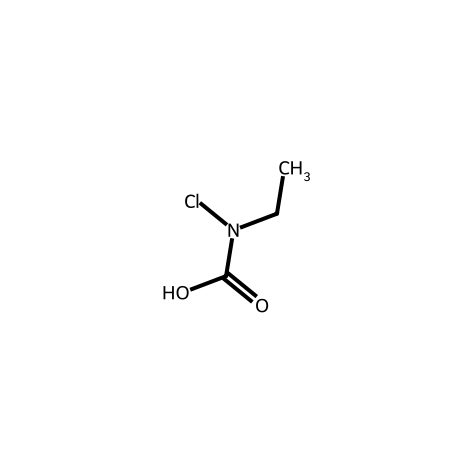 CCN(Cl)C(=O)O